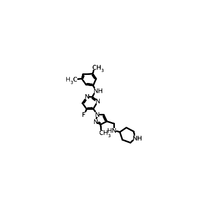 Cc1cc(C)cc(Nc2ncc(F)c(-n3cc(CNC4CCNCC4)c(C)n3)n2)c1